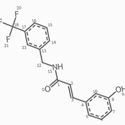 O=C(/C=C/c1cccc(O)c1)NCc1cccc(C(F)(F)F)c1